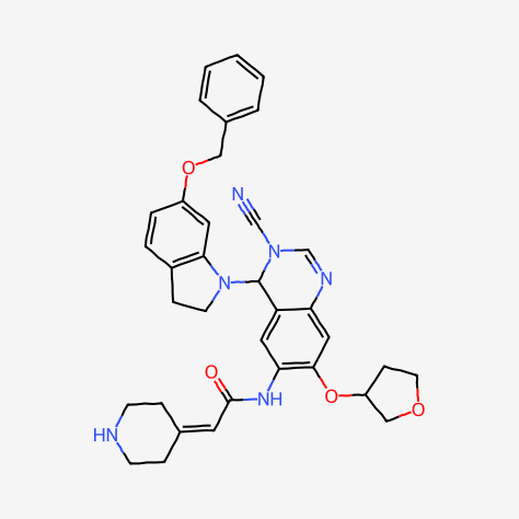 N#CN1C=Nc2cc(OC3CCOC3)c(NC(=O)C=C3CCNCC3)cc2C1N1CCc2ccc(OCc3ccccc3)cc21